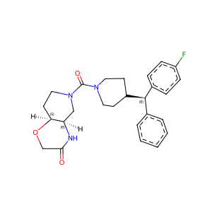 O=C1CO[C@H]2CCN(C(=O)N3CCC([C@H](c4ccccc4)c4ccc(F)cc4)CC3)C[C@H]2N1